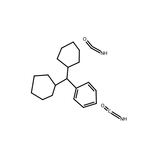 N=C=O.N=C=O.c1ccc(C(C2CCCCC2)C2CCCCC2)cc1